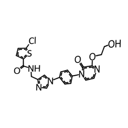 O=C(NCc1cn(-c2ccc(-n3ccnc(OCCO)c3=O)cc2)cn1)c1ccc(Cl)s1